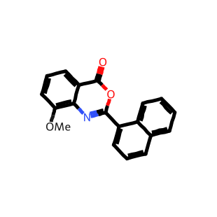 COc1cccc2c(=O)oc(-c3cccc4ccccc34)nc12